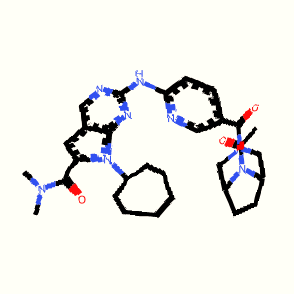 CC(=O)N1C2CCC1CN(C(=O)c1ccc(Nc3ncc4cc(C(=O)N(C)C)n(C5CCCCCC5)c4n3)nc1)C2